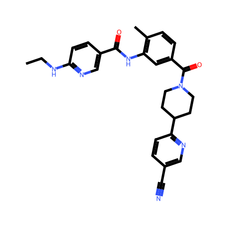 CCNc1ccc(C(=O)Nc2cc(C(=O)N3CCC(c4ccc(C#N)cn4)CC3)ccc2C)cn1